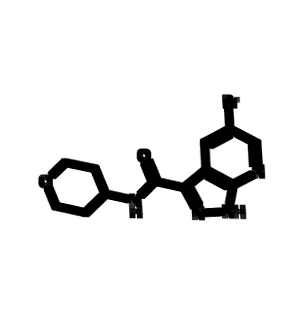 O=C(NC1CCOCC1)c1n[nH]c2ncc(Br)cc12